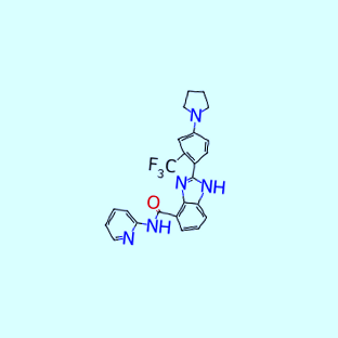 O=C(Nc1ccccn1)c1cccc2[nH]c(-c3ccc(N4CCCC4)cc3C(F)(F)F)nc12